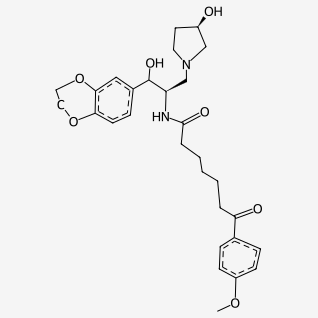 COc1ccc(C(=O)CCCCCC(=O)N[C@H](CN2CC[C@@H](O)C2)C(O)c2ccc3c(c2)OCCO3)cc1